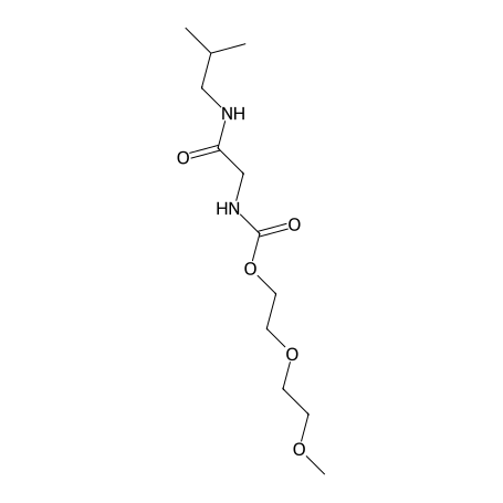 COCCOCCOC(=O)NCC(=O)NCC(C)C